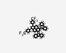 FC(F)(F)c1ccc(-c2cc(-c3ccc(C(F)(F)F)cc3)c3ccc4c(-n5c6ccccc6c6ccccc65)cc(-n5c6ccccc6c6ccccc65)c5ccc2c3c54)cc1